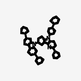 c1ccc(-c2ccc(-n3c4ccc(-n5c6cc(-c7ccccc7)ccc6c6ccc(-c7ccccc7)cc65)cc4c4nc(-c5ccccc5)ccc43)cc2)cc1